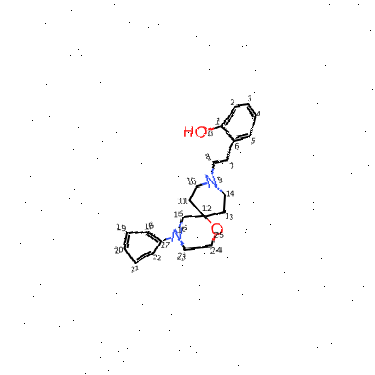 Oc1ccccc1CCN1CCC2(CC1)CN(c1ccccc1)CCO2